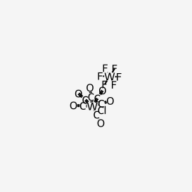 O=[C]=[W]([Cl])(=[C]=O)(=[C]=O)(=[C]=O)(=[C]=O)=[C]=O.[F][W]([F])([F])([F])([F])[F]